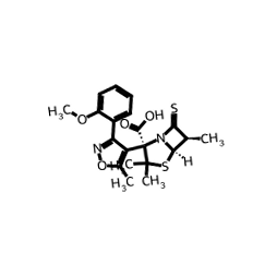 COc1ccccc1-c1noc(C)c1[C@@]1(C(=O)O)N2C(=S)[C@@H](C)[C@H]2SC1(C)C